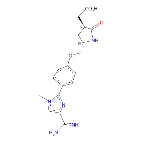 Cn1cc(C(=N)N)nc1-c1ccc(OC[C@@H]2C[C@@H](CC(=O)O)C(=O)N2)cc1